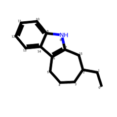 CCC1CCCc2c([nH]c3ccccc23)C1